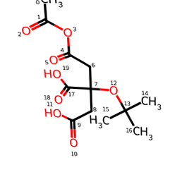 CC(=O)OC(=O)CC(CC(=O)O)(OC(C)(C)C)C(=O)O